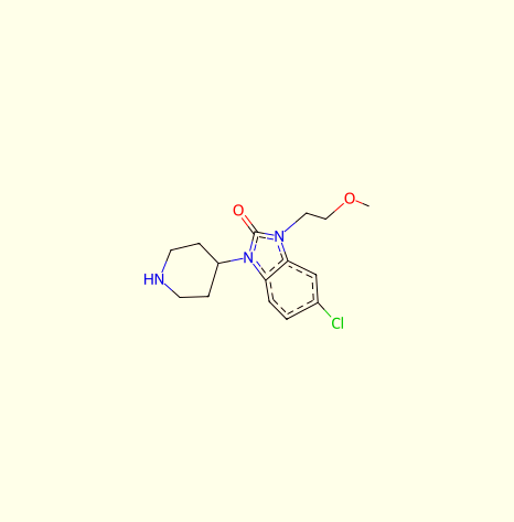 COCCn1c(=O)n(C2CCNCC2)c2ccc(Cl)cc21